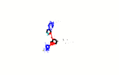 CCCN1CCN(c2ccc(F)c(OCc3cc(OC)cc4oc(-c5cn6nc(C)sc6n5)cc34)c2)CC1